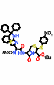 CON=C(C(=O)NC1C(=O)N2C(C(=O)OC(C)(C)C)=C(Sc3ccc([N+](=O)[O-])cc3)SCC12)c1csc(NC(c2ccccc2)(c2ccccc2)c2ccccc2)n1